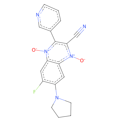 N#Cc1c(-c2cccnc2)[n+]([O-])c2cc(F)c(N3CCCC3)cc2[n+]1[O-]